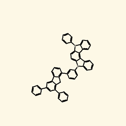 c1ccc(-c2cc(-c3ccccc3)c3c(c2)-c2cccc(-c4cccc(-n5c6ccccc6c6c7c8ccccc8n(-c8ccccc8)c7ccc65)c4)c2C3)cc1